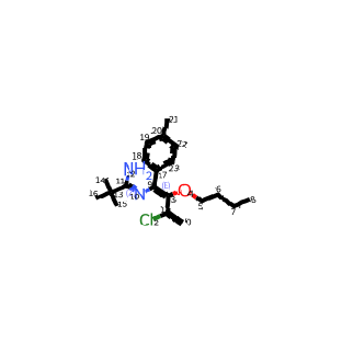 C=C(Cl)/C(OCCCC)=C(\N=C(/N)C(C)(C)C)c1ccc(C)cc1